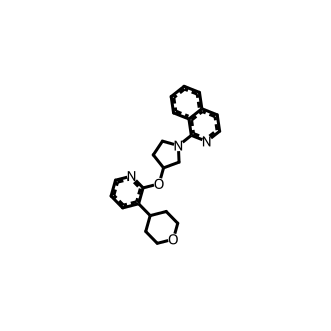 c1cnc(OC2CCN(c3nccc4ccccc34)C2)c(C2CCOCC2)c1